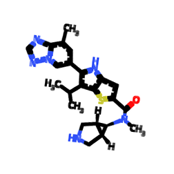 Cc1cc(-c2[nH]c3cc(C(=O)N(C)[C@H]4[C@@H]5CNC[C@@H]54)sc3c2C(C)C)cn2ncnc12